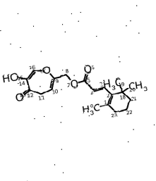 CC1=C(/C=C/C(=O)OCC2=CCC(=O)C(O)=CO2)C(C)(C)CCC1